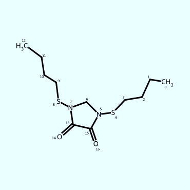 CCCCSN1CN(SCCCC)C(=O)C1=O